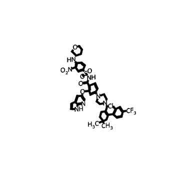 CC1(C)CCC(CN2CCN(c3ccc(C(=O)NS(=O)(=O)c4ccc(N[C@H]5CCCOC5)c([N+](=O)[O-])c4)c(Oc4cnc5[nH]ccc5c4)c3)CC2)=C(c2ccc(C(F)(F)F)cc2Cl)C1